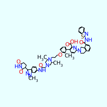 Cc1c(OCCCN2[C@H](C)CN(CC(=O)Nc3ccc4c(C5CCC(=O)NC5=O)nn(C)c4c3)C[C@@H]2C)cccc1-c1ccc(N2CCc3cccc(C(=O)Nc4nc5ccccc5s4)c3C2)nc1C(=O)O